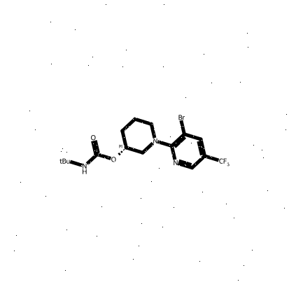 CC(C)(C)NC(=O)O[C@@H]1CCCN(c2ncc(C(F)(F)F)cc2Br)C1